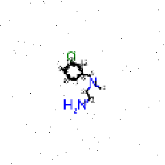 CN(CCN)Cc1cccc(Cl)c1